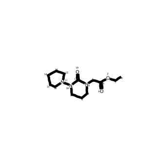 CCOC(=O)CN1CCCN(N2CCCCC2)C1=O